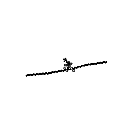 CCCCCCCCCCCCCCCCCCCCCCCCCC(=O)O[C@H](COC(=O)CCCCCCCCCCCCCCCCCCCCC)COP(=O)(O)OCC[N+](C)(C)C